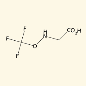 O=C(O)CNOC(F)(F)F